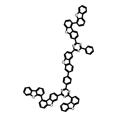 c1ccc(-c2nc(-c3ccc4c(c3)oc3cccc(-c5cccc6c5oc5ccccc56)c34)nc(-c3ccc4oc5cc(-c6ccc(-c7nc(-c8ccc9c(c8)oc8cccc(-c%10cccc%11c%10oc%10ccccc%10%11)c89)nc(-c8cccc9oc%10ccccc%10c89)n7)cc6)ccc5c4c3)n2)cc1